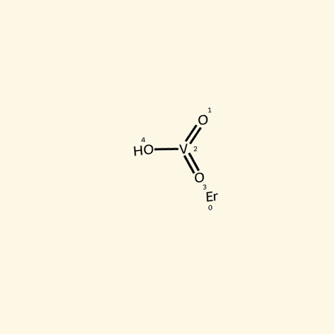 [Er].[O]=[V](=[O])[OH]